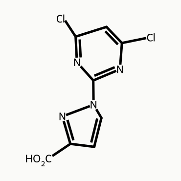 O=C(O)c1ccn(-c2nc(Cl)cc(Cl)n2)n1